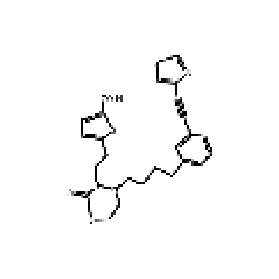 O=C(O)c1ccc(CCN2C(=O)SCCN2CCCCc2cccc(C#Cc3cscn3)c2)s1